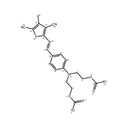 CCC(=O)OCCN(CCOC(=O)CC)c1ccc(/N=N/c2sc(C#N)c(C)c2C#N)cc1